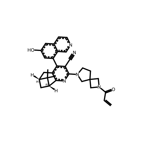 C=CC(=O)N1CC2(CCN(c3nc4c(c(-c5cc(O)cc6ccncc56)c3C#N)C[C@H]3C[C@@H]4C3(C)C)C2)C1